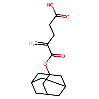 C=C(CCC(=O)O)C(=O)OC12CC3CC(CC(C3)C1)C2